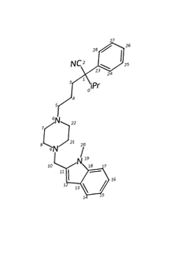 CC(C)C(C#N)(CCCN1CCN(Cc2cc3ccccc3n2C)CC1)c1ccccc1